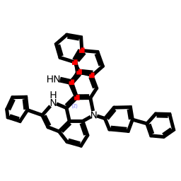 N=C(/C=C1\NC(c2ccccc2)=Cc2cccc(N(c3ccc(-c4ccccc4)cc3)c3ccc(-c4ccccc4)cc3)c21)c1ccccc1